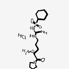 Cl.N=C(NCCC[C@H](N)C(=O)N1CCCC1)NS(=O)(=O)C1CCCCC1